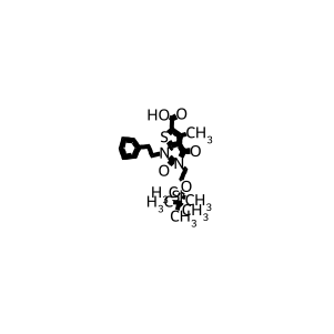 Cc1c(C(=O)O)sc2c1c(=O)n(CCO[Si](C)(C)C(C)(C)C)c(=O)n2CCc1ccccc1